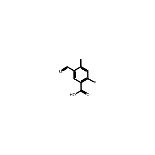 Cc1cc(F)c(C(=O)O)cc1C=O